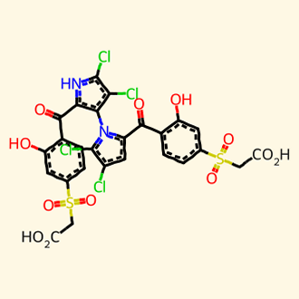 O=C(O)CS(=O)(=O)c1ccc(C(=O)c2[nH]c(Cl)c(Cl)c2-n2c(C(=O)c3ccc(S(=O)(=O)CC(=O)O)cc3O)cc(Cl)c2Cl)c(O)c1